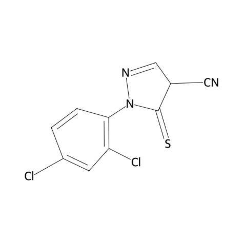 N#CC1C=NN(c2ccc(Cl)cc2Cl)C1=S